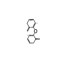 C=C1CC=C[C]=C1OC1=[C]C=CCC1=C